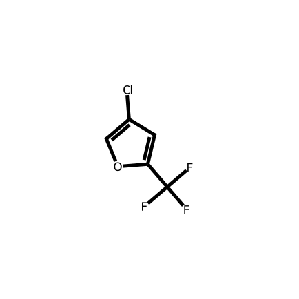 FC(F)(F)c1cc(Cl)co1